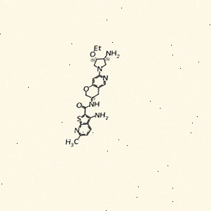 CCO[C@H]1CN(c2cc3c(cn2)C[C@@H](NC(=O)c2sc4nc(C)ccc4c2N)CO3)C[C@@H]1N